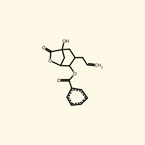 C=CCC1CC2(O)CC(OC2=O)C1OC(=O)c1ccccc1